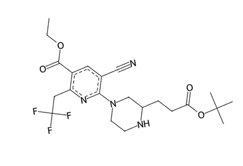 CCOC(=O)c1cc(C#N)c(N2CCNC(CCC(=O)OC(C)(C)C)C2)nc1CC(F)(F)F